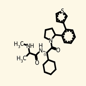 CNC(C)C(=O)N[C@H](C(=O)N1CCCC1c1ccccc1-c1ccsc1)C1CCCCC1